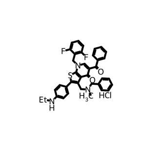 CCNc1ccc(-c2sc3c(c2CN(C)Cc2ccccc2)c(=O)c(C(=O)c2ccccc2)cn3Cc2c(F)cccc2F)cc1.Cl